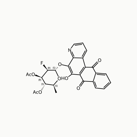 CC(=O)O[C@@H]1[C@@H](OC(C)=O)[C@@H](F)[C@H](Oc2c(O)c3c(c4cccnc24)C(=O)c2ccccc2C3=O)O[C@H]1C